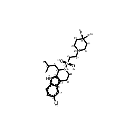 CC(C)CC1c2[nH]c3ccc(Cl)cc3c2CCN1S(=O)(=O)CCN1CCC(F)(F)CC1